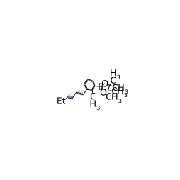 CC/C=C/C=C/c1cccc(B2OC(C)(C)C(C)(C)O2)c1C